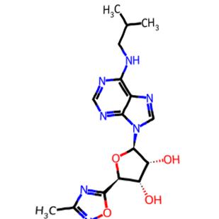 Cc1noc([C@H]2O[C@@H](n3cnc4c(NCC(C)C)ncnc43)[C@H](O)[C@@H]2O)n1